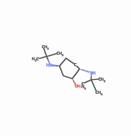 CC(C)(C)N[C@H]1CC[C@H](NC(C)(C)C)[C@H](O)C1